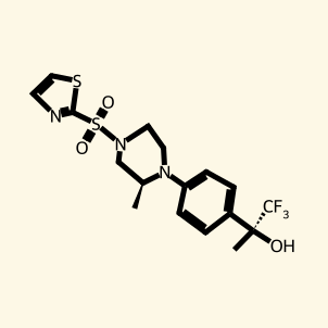 C[C@H]1CN(S(=O)(=O)c2nccs2)CCN1c1ccc([C@](C)(O)C(F)(F)F)cc1